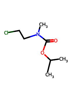 CC(C)OC(=O)N(C)CCCl